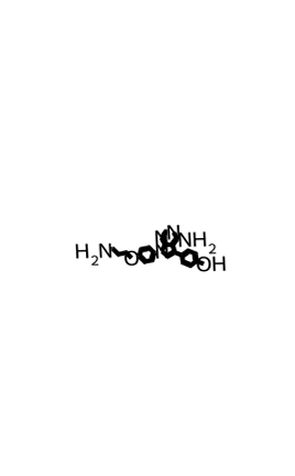 NCCCOc1ccc(-n2cc(-c3ccc(O)cc3)c3c(N)ncnc32)cc1